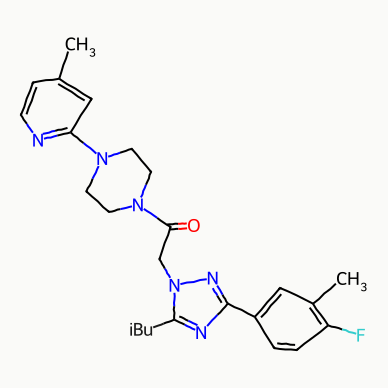 CCC(C)c1nc(-c2ccc(F)c(C)c2)nn1CC(=O)N1CCN(c2cc(C)ccn2)CC1